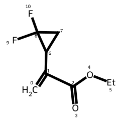 C=C(C(=O)OCC)C1CC1(F)F